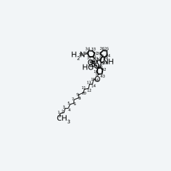 CCCCCCCCCCCCCCCCOc1ccc(-c2[nH]c3ccccc3c2N(c2cccc(N)c2)S(=O)(=O)O)cc1